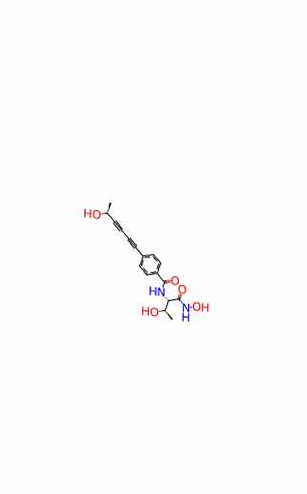 C[C@H](O)C#CC#Cc1ccc(C(=O)N[C@H](C(=O)NO)[C@@H](C)O)cc1